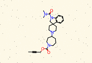 CC#CCOC(=O)N1CCCC(N2CCC3(CC2)CN(C(=O)N(C)C)c2ccccc23)CC1